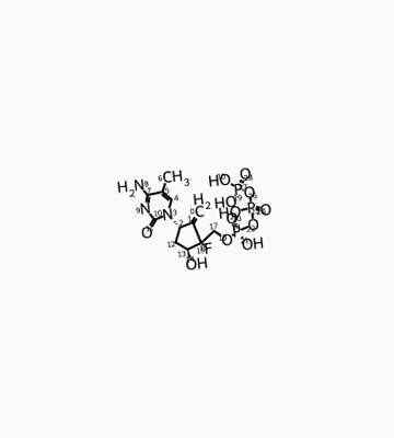 C=C1[C@@H](n2cc(C)c(N)nc2=O)C[C@H](O)[C@@]1(F)COP(=O)(O)OP(=O)(O)OP(=O)(O)O